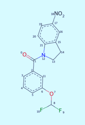 O=C(c1cccc(OC(F)F)c1)N1CCc2cc([N+](=O)[O-])ccc21